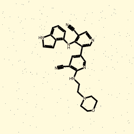 N#Cc1cc(-c2cncc(C#N)c2Nc2cccc3[nH]ccc23)cnc1NCCN1CCOCC1